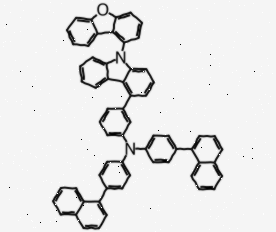 c1cc(-c2cccc3c2c2ccccc2n3-c2cccc3oc4ccccc4c23)cc(N(c2ccc(-c3cccc4ccccc34)cc2)c2ccc(-c3cccc4ccccc34)cc2)c1